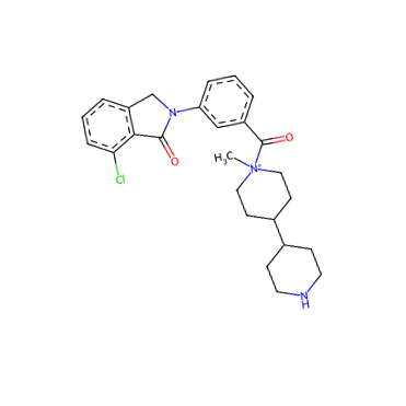 C[N+]1(C(=O)c2cccc(N3Cc4cccc(Cl)c4C3=O)c2)CCC(C2CCNCC2)CC1